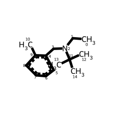 CCN(Cc1ccccc1C)C(C)(C)C